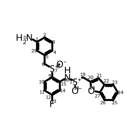 Nc1cccc(C[S+]([O-])c2ccc(F)cc2N[S+]([O-])Cc2cc3ccccc3o2)c1